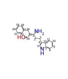 NC(CCc1c[nH]c2ccccc12)C(CO)Cc1ccccc1